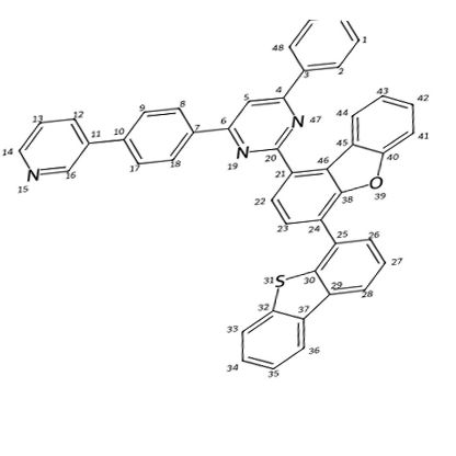 c1ccc(-c2cc(-c3ccc(-c4cccnc4)cc3)nc(-c3ccc(-c4cccc5c4sc4ccccc45)c4oc5ccccc5c34)n2)cc1